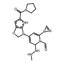 CNNC1C=C(N2COc3cc(C(=O)N4CCCC4)[nH]c32)C=C(N2C=N2)N1C=O